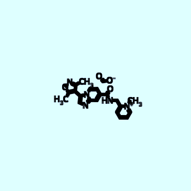 Cc1noc(C)c1-c1cnc2cc(C(=O)NCc3cccc[n+]3C)ccn12.O=C[O-]